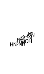 Oc1nc(N[C@@H]2CNC[C@@H]2F)nn2ccc(-c3cnc4nccn4c3)c12